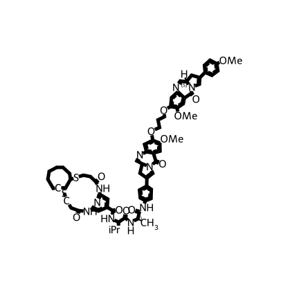 COc1ccc(C2=CN3C(=O)c4cc(OC)c(OCCCOc5cc6c(cc5OC)C(=O)N5C=C(c7ccc(NC(=O)[C@H](C)NC(=O)C(NC(=O)c8cc9nc(c8)NC(=O)CCSC8CCCCCCCC8SCCC(=O)N9)C(C)C)cc7)CC5C=N6)cc4N=C[C@@H]3C2)cc1